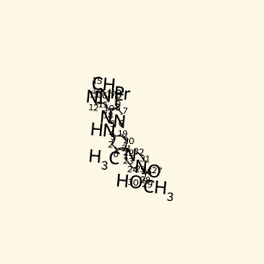 Cc1cc(Nc2ncc(F)c(-c3cnc(C)n3C(C)C)n2)ccc1N1CCN(C(=O)[C@H](C)O)CC1